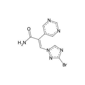 NC(=O)/C(=C/n1cnc(Br)n1)c1cncnc1